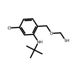 CC(C)(C)Nc1cc(Cl)ccc1COCS